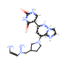 N/C=C\N(N)CC1CCN(c2cc(-c3c[nH]c(=O)[nH]c3=O)nn3ccnc23)C1